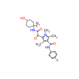 Cc1c(C(=O)Nc2ccc(F)cc2)c(C)n(C)c1C(=O)C(=O)NC1(C)CCC(O)CC1